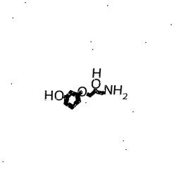 NCC(O)COc1cccc(O)c1